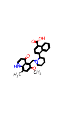 COc1cc(C)c2[nH]ccc(=O)c2c1CN1CCCCC1c1ccc(C(=O)O)c2ccccc12